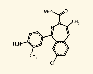 CNC(=O)N1N=C(c2ccc(N)c(C)c2)c2cc(Cl)ccc2C=C1C